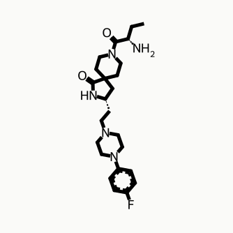 CC[C@H](N)C(=O)N1CCC2(CC1)C[C@H](CCN1CCN(c3ccc(F)cc3)CC1)NC2=O